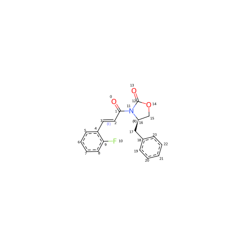 O=C(/C=C/c1ccccc1F)N1C(=O)OC[C@H]1Cc1ccccc1